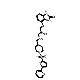 O=c1[nH]c2cccc(OC[C@@H](O)CNCC3CCN(S(=O)(=O)c4ccc(-c5ccccn5)s4)CC3)c2[nH]1